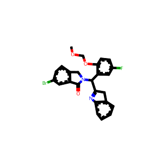 COCOc1ccc(F)cc1C(C1=Nc2ccccc2C1)N1Cc2ccc(Br)cc2C1=O